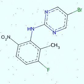 Cc1c(F)ccc([N+](=O)[O-])c1Nc1ncc(Br)cn1